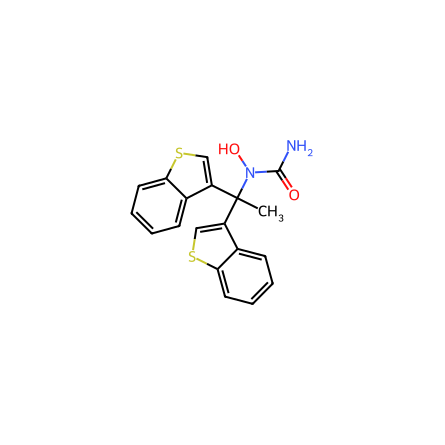 CC(c1csc2ccccc12)(c1csc2ccccc12)N(O)C(N)=O